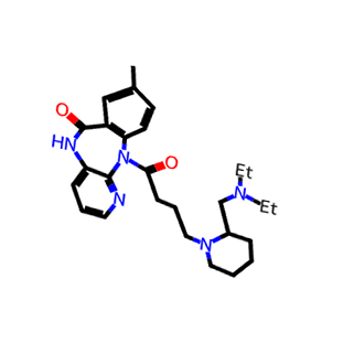 CCN(CC)CC1CCCCN1CCCC(=O)N1c2ccc(C)cc2C(=O)Nc2cccnc21